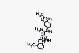 Cc1nc2cc(N/C(N)=C(\C=N)Cc3cc4c(C)cccc4[nH]3)ccc2[nH]1